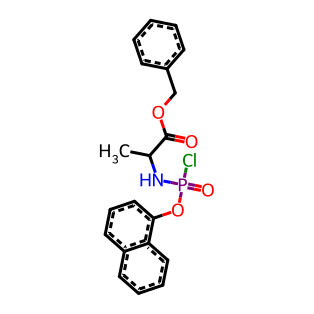 CC(NP(=O)(Cl)Oc1cccc2ccccc12)C(=O)OCc1ccccc1